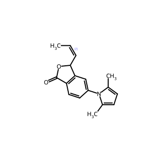 C/C=C\C1OC(=O)c2ccc(-n3c(C)ccc3C)cc21